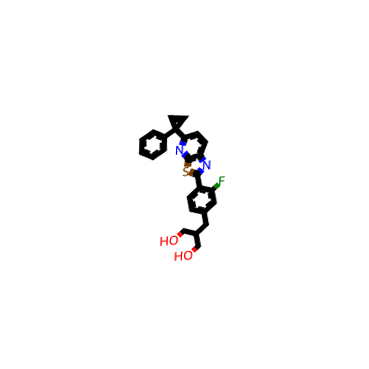 OCC(CO)Cc1ccc(-c2nc3ccc(C4(c5ccccc5)C=C4)nc3s2)c(F)c1